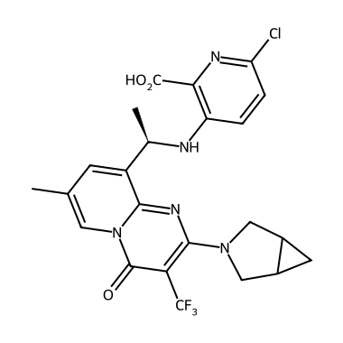 Cc1cc([C@@H](C)Nc2ccc(Cl)nc2C(=O)O)c2nc(N3CC4CC4C3)c(C(F)(F)F)c(=O)n2c1